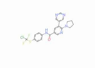 O=C(Nc1ccc(SC(F)(F)Cl)cc1)c1cnc(N2CCCC2)c(-c2cncnc2)c1